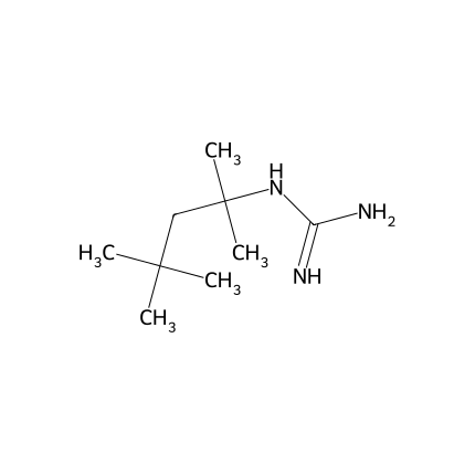 CC(C)(C)CC(C)(C)NC(=N)N